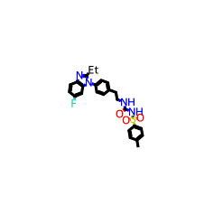 CCc1nc2ccc(F)cc2n1-c1ccc(CCNC(=O)NS(=O)(=O)c2ccc(C)cc2)cc1